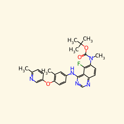 Cc1ccc(Oc2ccc(Nc3ncnc4ccc(N(C)C(=O)OC(C)(C)C)c(F)c34)cc2C)cn1